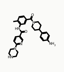 Cc1ccc(C(=O)N2CCC(c3ccc(N)cc3)CC2)cc1NC(=O)c1ccc(N2CCNCC2)nc1